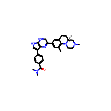 Cc1cc(C2=Nc3c(-c4ccc(C(=O)N(C)C)cc4)c[nH]c3NC2)cc2c1N1CCN(C)C[C@@H]1CC2